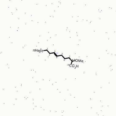 CCCCCCCCC/C=C/CCCC(OC)C(=O)O